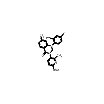 COc1ccc(N2CN(c3ccc(F)cc3C(C)C)c3cc(C(F)(F)F)ccc3C2=O)c(C)n1